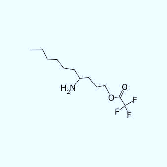 CCCCCCC(N)CCCOC(=O)C(F)(F)F